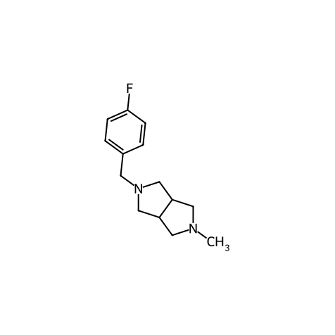 CN1CC2CN(Cc3ccc(F)cc3)CC2C1